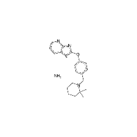 CC1(C)CCCCN1Cc1ccc(Oc2nc3ncccc3s2)cc1.N